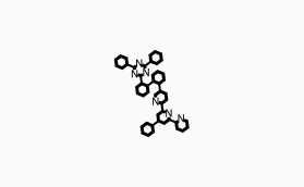 c1ccc(-c2cc(-c3ccccn3)nc(-c3ccc(-c4ccccc4-c4ccccc4-c4nc(-c5ccccc5)nc(-c5ccccc5)n4)cn3)c2)cc1